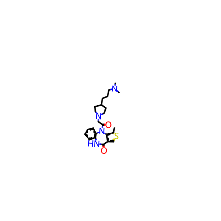 Cc1scc2c1N(C(=O)CN1CCC(CCCN(C)C)CC1)c1ccccc1NC2=O